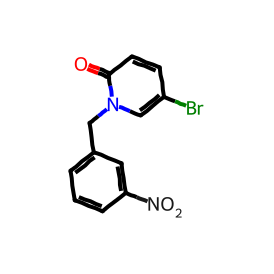 O=c1ccc(Br)cn1Cc1cccc([N+](=O)[O-])c1